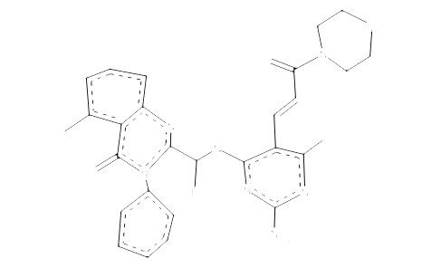 CCC(Nc1nc(N)nc(C)c1/C=C/C(=O)N1CCOCC1)c1nc2cccc(C)c2c(=O)n1-c1ccccc1